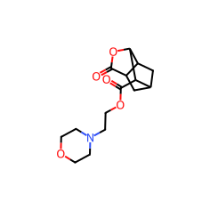 O=C1OC2C3CC(CC13)C2C(=O)OCCN1CCOCC1